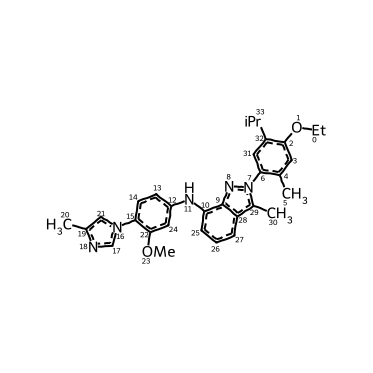 CCOc1cc(C)c(-n2nc3c(Nc4ccc(-n5cnc(C)c5)c(OC)c4)cccc3c2C)cc1C(C)C